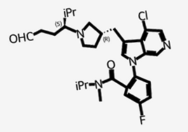 CC(C)[C@H](CCC=O)N1CC[C@@H](Cc2cn(-c3ccc(F)cc3C(=O)N(C)C(C)C)c3cncc(Cl)c23)C1